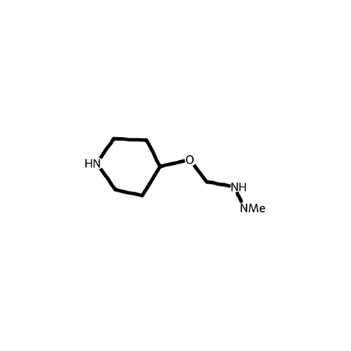 CNNCOC1CCNCC1